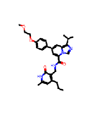 CCCc1cc(C)[nH]c(=O)c1CNC(=O)c1cc(-c2ccc(OCCOC)cc2)cc2c(C(C)C)ncn12